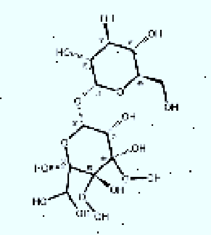 OC[C@H]1O[C@H](O[C@H]2O[C@](O)(C(O)O)[C@@](O)(OO)[C@](O)(OO)[C@H]2O)[C@H](O)[C@@H](O)[C@@H]1O